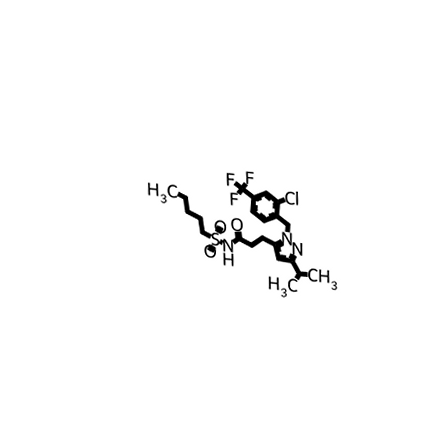 CCCCCS(=O)(=O)NC(=O)CCc1cc(C(C)C)nn1Cc1ccc(C(F)(F)F)cc1Cl